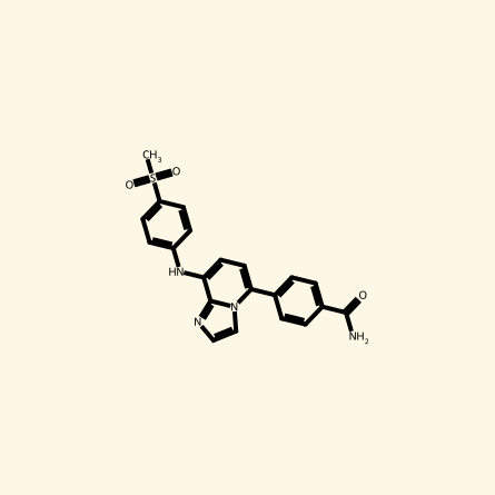 CS(=O)(=O)c1ccc(Nc2ccc(-c3ccc(C(N)=O)cc3)n3ccnc23)cc1